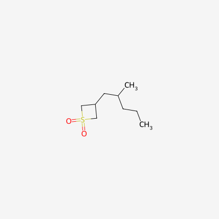 CCCC(C)CC1CS(=O)(=O)C1